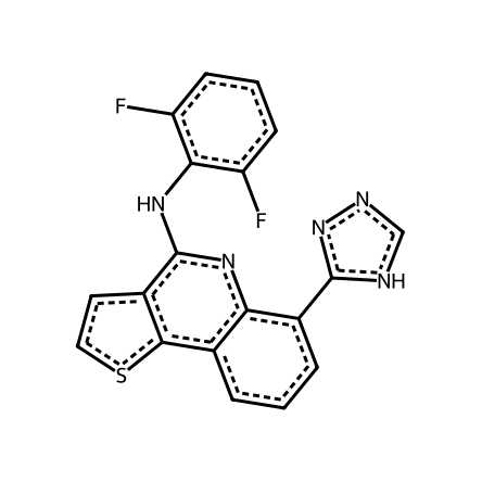 Fc1cccc(F)c1Nc1nc2c(-c3nnc[nH]3)cccc2c2sccc12